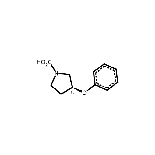 O=C(O)N1CC[C@H](Oc2ccccc2)C1